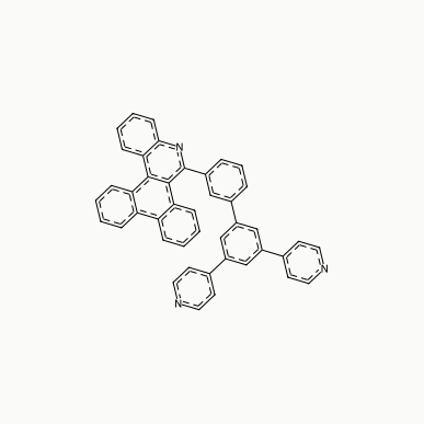 c1cc(-c2cc(-c3ccncc3)cc(-c3ccncc3)c2)cc(-c2nc3ccccc3c3c4ccccc4c4ccccc4c23)c1